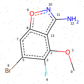 COc1c(F)c(Br)cc2onc(N)c12